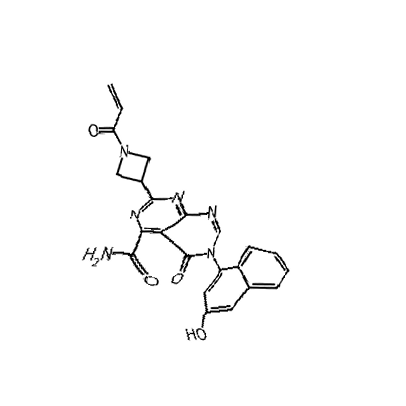 C=CC(=O)N1CC(c2nc(C(N)=O)c3c(=O)n(-c4cc(O)cc5ccccc45)cnc3n2)C1